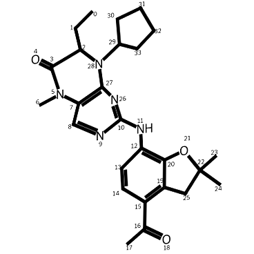 CCC1C(=O)N(C)c2cnc(Nc3ccc(C(C)=O)c4c3OC(C)(C)C4)nc2N1C1CCCC1